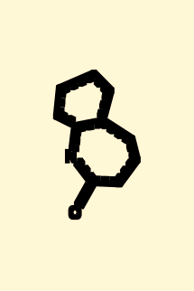 O=c1cccc2ccccc2n1